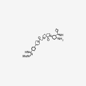 CN/C=N\C(=N)c1ccc(C2=CCN(C(=O)CN3CC[C@]4(CCN(c5ccc(N)c(C(=N)C67CC(C6)C7)c5)C4=O)C3)CC2)cc1